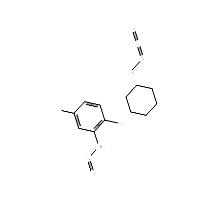 [N-]=[N+]=NC[C@@H]1CCC[C@H](Nc2ccc(C(=O)O)cc2NN=N)C1